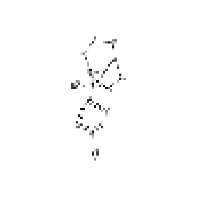 N#CC1(c2ccc(Cl)cc2)C2CC3CC(C2)CC1C3